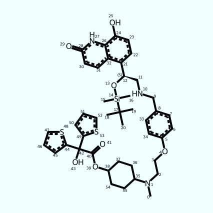 CN(CCOc1ccc(CNC[C@@H](O[Si](C)(C)C(C)(C)C)c2ccc(O)c3[nH]c(=O)ccc23)cc1)C1CCC(OC(=O)C(O)(c2cccs2)c2cccs2)CC1